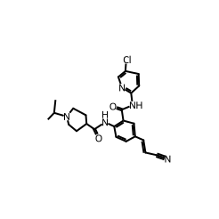 CC(C)N1CCC(C(=O)Nc2ccc(/C=C/C#N)cc2C(=O)Nc2ccc(Cl)cn2)CC1